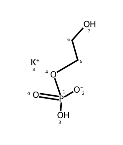 O=P([O-])(O)OCCO.[K+]